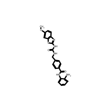 COc1ccc2nc(NC(=O)NCc3ccc(C(=O)Nc4ccccc4N)cc3)sc2c1